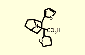 O=C(O)C1CC2CCC(C1c1cccs1)N2CC1CCCO1